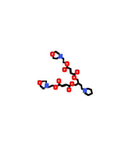 O=C(/C=C/C(=O)OCC(CCN1CCCCC1)COC(=O)/C=C/C(=O)OCCN1CCOCC1)OCCN1CCOCC1